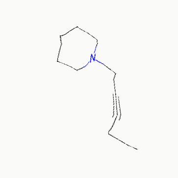 CCC#CCN1CCCCC1